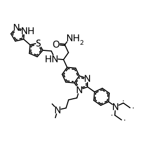 [CH2][CH]N([CH][CH2])c1ccc(-c2nc3cc(C(CC(N)=O)NCc4ccc(-c5ccn[nH]5)s4)ccc3n2CCCN(C)C)cc1